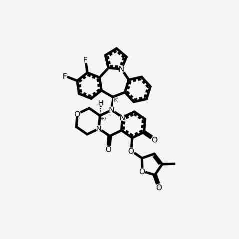 CC1=CC(Oc2c3n(ccc2=O)N([C@@H]2c4ccccc4-n4cccc4-c4c2ccc(F)c4F)[C@@H]2COCCN2C3=O)OC1=O